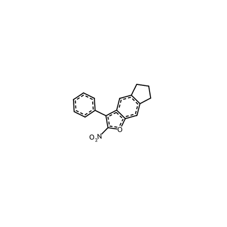 O=[N+]([O-])c1oc2cc3c(cc2c1-c1ccccc1)CCC3